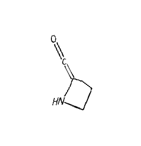 O=C=C1CCN1